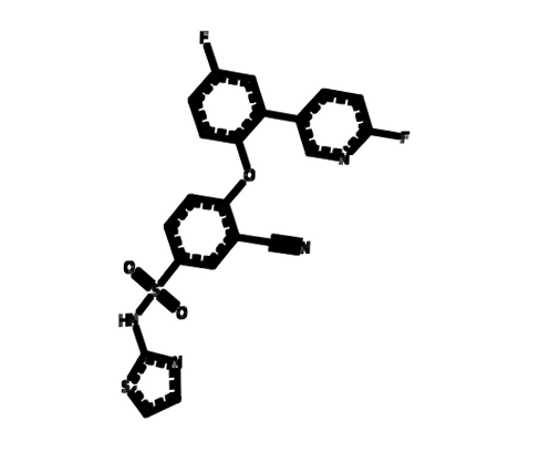 N#Cc1cc(S(=O)(=O)Nc2nccs2)ccc1Oc1ccc(F)cc1-c1ccc(F)nc1